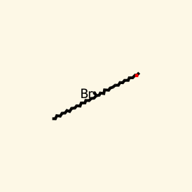 CCCCCCCCCCCCCCCCCCC(CBr)CCCCCCCCCCCCCCCCCC